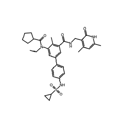 CCN(C(=O)C1CCCC1)c1cc(-c2ccc(NS(=O)(=O)C3CC3)cc2)cc(C(=O)NCc2c(C)cc(C)[nH]c2=O)c1C